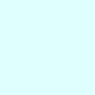 CCCC(Br)(Br)C#N